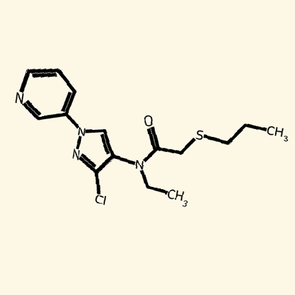 CCCSCC(=O)N(CC)c1cn(-c2cccnc2)nc1Cl